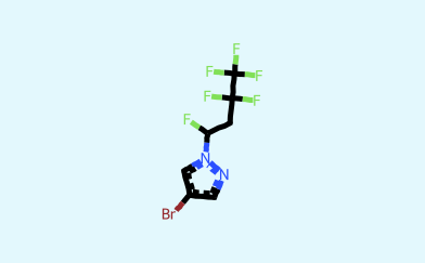 FC(CC(F)(F)C(F)(F)F)n1cc(Br)cn1